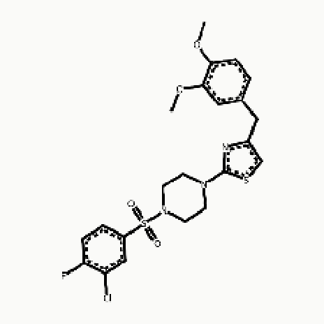 COc1ccc(Cc2csc(N3CCN(S(=O)(=O)c4ccc(F)c(Cl)c4)CC3)n2)cc1OC